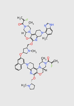 C=C(F)C(=O)N1C[C@@H]2COc3c(OC[C@@H]4CCCN4C)nc4c(c3N2C[C@H]1C)CCN(c1cc(OC2C[C@@H](COc3nc5c(c6c3OC[C@H]3CN(C(=O)C(=C)F)[C@H](C)CN63)CCN(c3c(C)ccc6[nH]cnc36)C5)N(C)C2)cc2ccccc12)C4